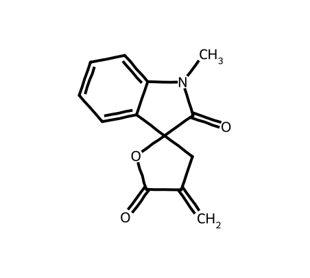 C=C1CC2(OC1=O)C(=O)N(C)c1ccccc12